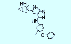 Cc1cc(Nc2ncnc3cnc(N4CC5CC5(N)C4)cc23)ccc1Oc1ccccc1